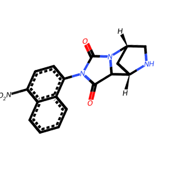 O=C1C2[C@@H]3C[C@@H](CN3)N2C(=O)N1c1ccc([N+](=O)[O-])c2ccccc12